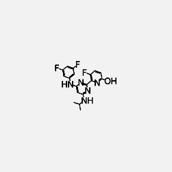 CC(C)Nc1cc(Nc2cc(F)cc(F)c2)nc(-c2nc(O)ccc2F)n1